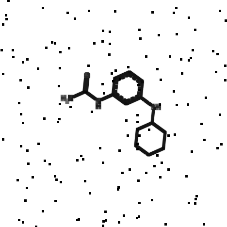 NC(=O)Nc1cccc(NC2CCCCC2)c1